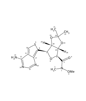 CON(C)C(=O)[C@H]1O[C@@H](c2scc3c(N)ncnc23)[C@@H]2OC(C)(C)O[C@@H]21